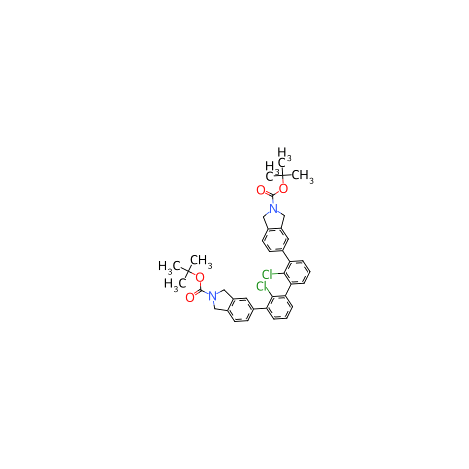 CC(C)(C)OC(=O)N1Cc2ccc(-c3cccc(-c4cccc(-c5ccc6c(c5)CN(C(=O)OC(C)(C)C)C6)c4Cl)c3Cl)cc2C1